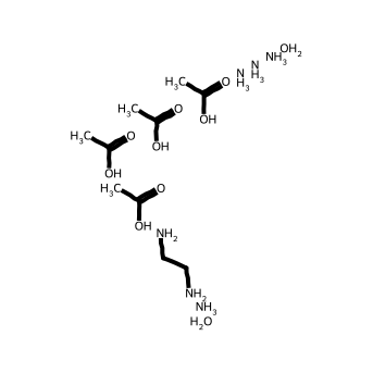 CC(=O)O.CC(=O)O.CC(=O)O.CC(=O)O.N.N.N.N.NCCN.O.O